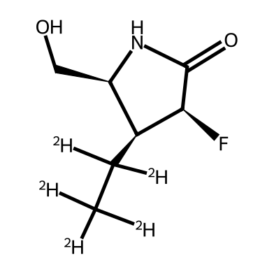 [2H]C([2H])([2H])C([2H])([2H])[C@@H]1[C@H](F)C(=O)N[C@@H]1CO